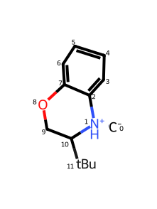 [CH2-][NH+]1c2ccccc2OCC1C(C)(C)C